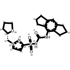 O=C(Nc1c2c(cc3c1CCC3)CCC2)NS(=O)(=O)c1ccn(C[C@@H]2CCCO2)n1